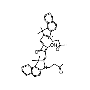 CC(=O)CCN1/C(=C/C2=C(O)C(=C\C3=[N+](CCC(C)=O)c4ccc5ccccc5c4C3(C)C)/C2=O)C(C)(C)c2c1ccc1ccccc21